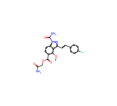 COc1c(C(=O)OCC(N)=O)ccc2c1c(C=Cc1ccc(F)cc1)nn2C(N)=O